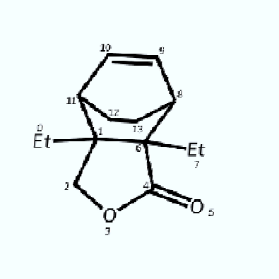 CCC12COC(=O)C1(CC)C1C=CC2CC1